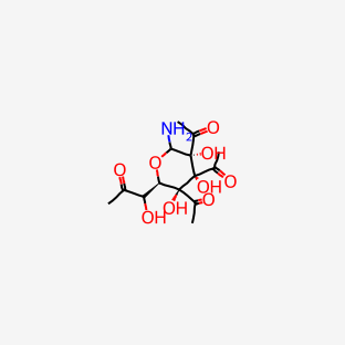 CC(=O)C(O)[C@H]1OC(N)[C@@](O)(C(C)=O)[C@](O)(C(C)=O)[C@]1(O)C(C)=O